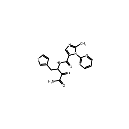 Cc1ncc(C(=O)NC(Cc2ccoc2)C(=O)C(N)=O)n1-c1ncccn1